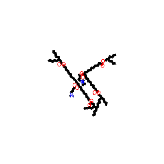 CCCCCC(CCCCC)CC(=O)OCCCCCCCCCCC(CCCCCCCCCCOC(=O)CC(CCCCC)C(CCCC)CCCCC(CCCC)CCOC(=O)CCCCCCCCCC1(CCCCCCCCCC(=O)OCCC(CCCC)CCCC)OCC(CCN(C)C(C)C)O1)OC(=O)CCCN(C)C